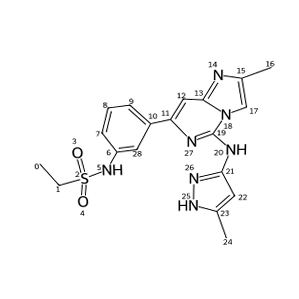 CCS(=O)(=O)Nc1cccc(-c2cc3nc(C)cn3c(Nc3cc(C)[nH]n3)n2)c1